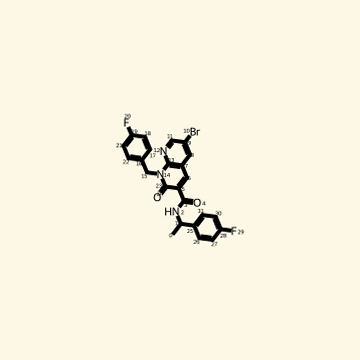 CC(NC(=O)c1cc2cc(Br)cnc2n(Cc2ccc(F)cc2)c1=O)c1ccc(F)cc1